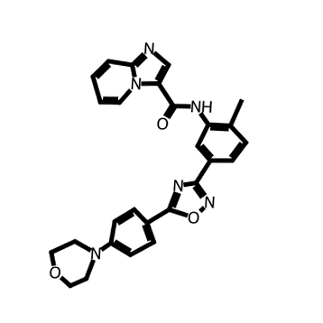 Cc1ccc(-c2noc(-c3ccc(N4CCOCC4)cc3)n2)cc1NC(=O)c1cnc2ccccn12